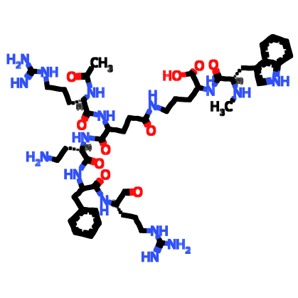 CN[C@@H](Cc1c[nH]c2ccccc12)C(=O)NC(CCCNC(=O)CCC(NC(=O)[C@H](CCCNC(=N)N)NC(C)=O)C(=O)N[C@@H](CCN)C(=O)NC(Cc1ccccc1)C(=O)N[C@H](C=O)CCCNC(=N)N)C(=O)O